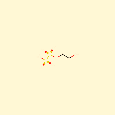 O=S(=O)(O)S(=O)(=O)OCCO